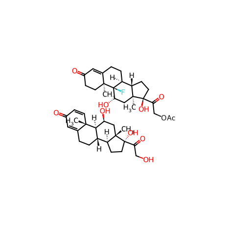 CC(=O)OCC(=O)[C@@]1(O)CC[C@H]2[C@@H]3CCC4=CC(=O)CC[C@]4(C)[C@@]3(F)[C@@H](O)C[C@@]21C.C[C@]12C=CC(=O)C=C1CC[C@@H]1[C@@H]2[C@@H](O)C[C@@]2(C)[C@H]1CC[C@]2(O)C(=O)CO